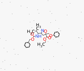 CCOC(=O)C1(COc2ccccc2)CC([C@@H](NC(=O)OCc2ccccc2)C(C)C)=NO1